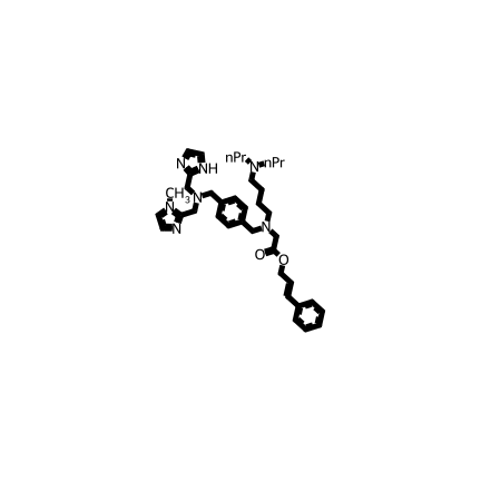 CCCN(CCC)CCCCN(CC(=O)OC/C=C/c1ccccc1)Cc1ccc(CN(Cc2ncc[nH]2)Cc2nccn2C)cc1